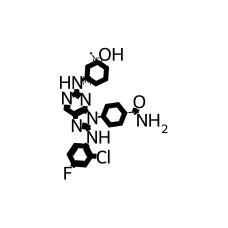 C[C@]1(O)CCC[C@@H](Nc2ncc3nc(Nc4ccc(F)cc4Cl)n([C@H]4CC[C@@H](C(N)=O)CC4)c3n2)C1